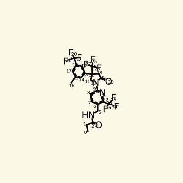 CCC(=O)NCc1ccc(N2CC(c3cc(C)cc(C(F)(F)F)c3)(C(F)(F)F)CC2=O)nc1C(F)(F)F